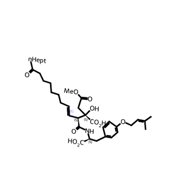 CCCCCCCC(=O)CCCCCC/C=C/[C@H](C(=O)N[C@@H](Cc1ccc(OCC=C(C)C)cc1)C(=O)O)[C@@](O)(CC(=O)OC)C(=O)O